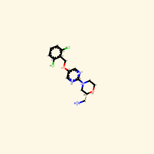 NC[C@@H]1CN(c2ncc(OCc3c(Cl)cccc3Cl)cn2)CCO1